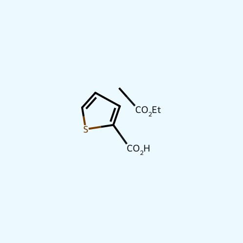 CCOC(C)=O.O=C(O)c1cccs1